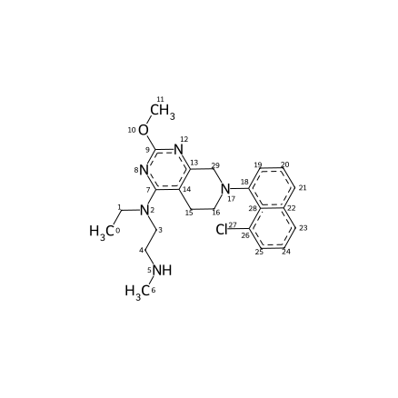 CCN(CCNC)c1nc(OC)nc2c1CCN(c1cccc3cccc(Cl)c13)C2